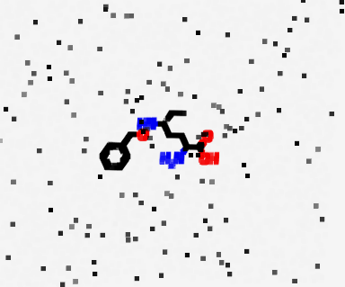 CC[C@@H](CC[C@H](N)C(=O)O)NOCc1ccccc1